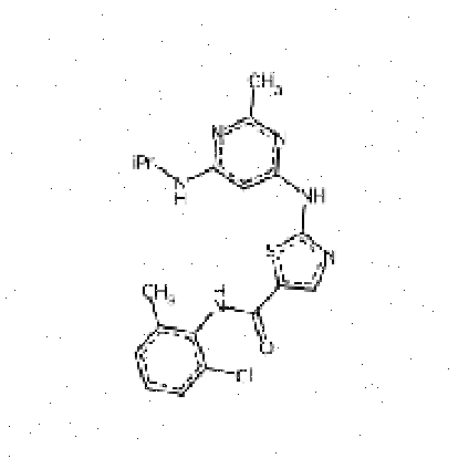 Cc1nc(Nc2ncc(C(=O)Nc3c(C)cccc3Cl)s2)cc(NC(C)C)n1